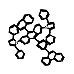 c1ccc(-c2ccc(-c3ccccc3)n2-c2ccc3c(-c4cccc5ccccc45)c4cc(-n5c(-c6ccccc6)ccc5-c5ccccc5)ccc4c(-c4ccc(-c5cc6ccccc6c6ccccc56)cc4)c3c2)cc1